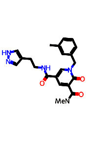 CNC(=O)c1cc(C(=O)NCCc2cn[nH]c2)cn(Cc2cccc(C)c2)c1=O